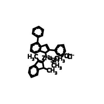 CC1=[C]([Zr+2]([CH]2C(c3ccccc3)=Cc3c(-c4ccccc4)cccc32)[SiH](C)C)C(C)c2ccccc21.[Cl-].[Cl-]